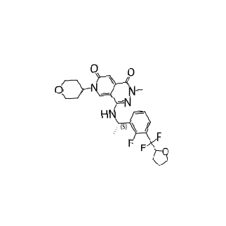 C[C@H](Nc1nn(C)c(=O)c2cc(=O)n(C3CCOCC3)cc12)c1cccc(C(F)(F)C2CCCO2)c1F